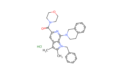 Cc1c(C)n(Cc2ccccc2)c2c(N3CCc4ccccc4C3)nc(C(=O)N3CCOCC3)cc12.Cl